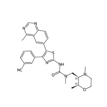 Cc1ncnc2ccc(-c3sc(NC(=O)N(C)C[C@@H]4[C@H](C)OCCN4C)nc3-c3cccc(C#N)c3)cc12